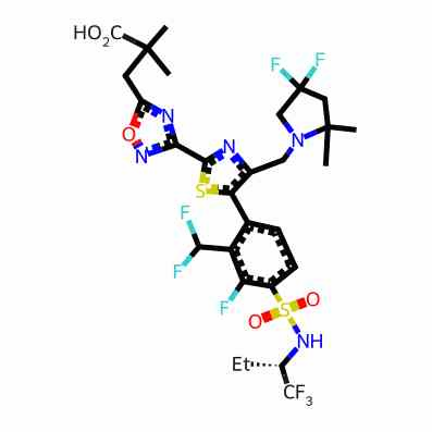 CC[C@H](NS(=O)(=O)c1ccc(-c2sc(-c3noc(CC(C)(C)C(=O)O)n3)nc2CN2CC(F)(F)CC2(C)C)c(C(F)F)c1F)C(F)(F)F